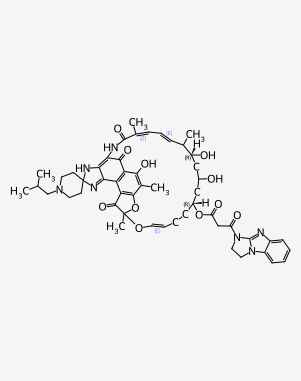 C/C1=C/C=C/C(C)[C@H](O)CC(O)C[C@H](OC(=O)CC(=O)N2CCn3c2nc2ccccc23)CC/C=C/OC2(C)Oc3c(C)c(O)c4c(c3C2=O)C2=NC3(CCN(CC(C)C)CC3)NC2=C(NC1=O)C4=O